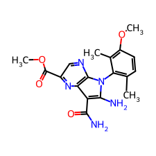 COC(=O)c1cnc2c(n1)c(C(N)=O)c(N)n2-c1c(C)ccc(OC)c1C